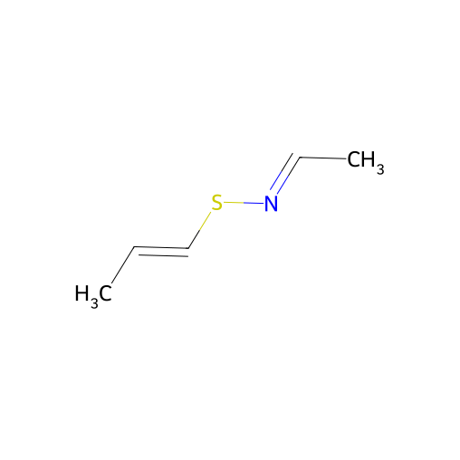 CC=CSN=CC